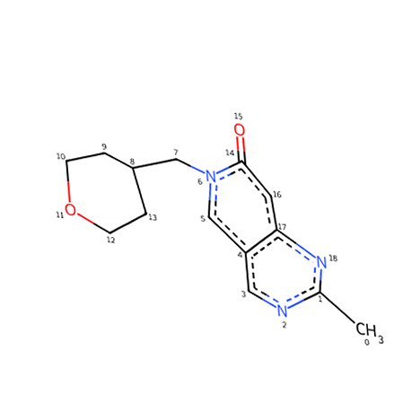 Cc1ncc2cn(CC3CCOCC3)c(=O)cc2n1